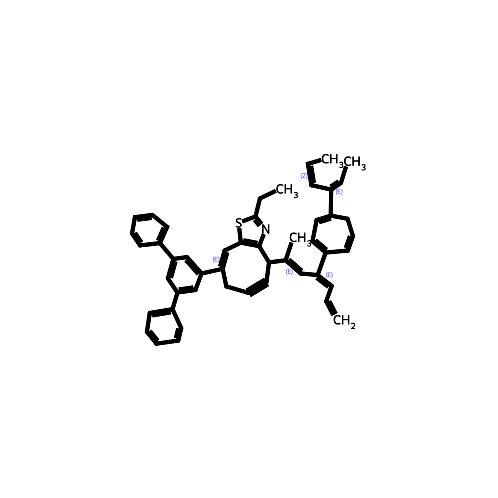 C=C/C=C(\C=C(/C)C1C#CC/C(c2cc(-c3ccccc3)cc(-c3ccccc3)c2)=C\c2sc(CC)nc21)C1=CC=C(C(/C=C\C)=C/C)CC=C1